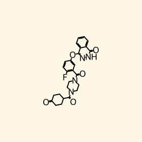 O=C1CCC(C(=O)N2CCN(C(=O)c3cc(Oc4n[nH]c(=O)c5ccccc45)ccc3F)CC2)CC1